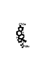 C#CC12CC[C@@H]3c4ccc(OC)cc4CC[C@H]3[C@@H]1CC[C@@H]2O[Si](C)(C)C(C)(C)C